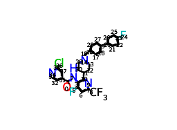 O=C(Nc1c(F)cc(C(F)(F)F)nc1C1CCN(Cc2ccc(-c3ccc(F)cc3)cc2)CC1)c1ccnc(Cl)c1